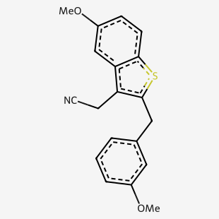 COc1cccc(Cc2sc3ccc(OC)cc3c2CC#N)c1